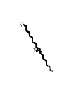 CCCCCCCCCCCCCCC=CCCl.N